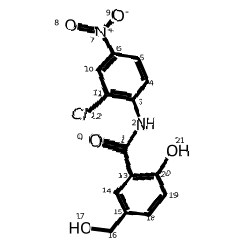 O=C(Nc1ccc([N+](=O)[O-])cc1Cl)c1cc(CO)ccc1O